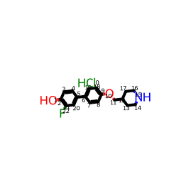 Cl.Oc1ccc(-c2ccc(OCC3CCNCC3)cc2)cc1F